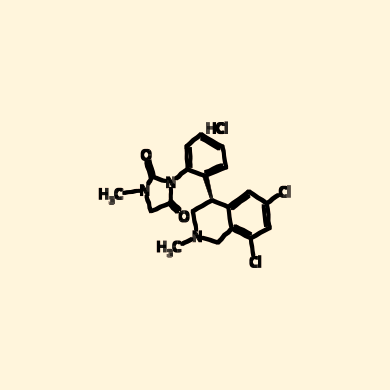 CN1Cc2c(Cl)cc(Cl)cc2[C@H](c2ccccc2N2C(=O)CN(C)C2=O)C1.Cl